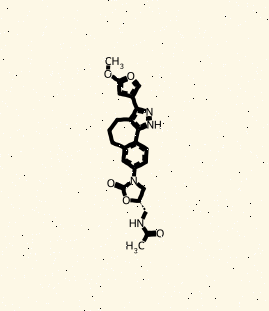 COc1cc(-c2n[nH]c3c2CCCc2cc(N4C[C@H](CNC(C)=O)OC4=O)ccc2-3)co1